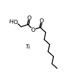 CCCCCCCC(=O)OC(=O)CO.[Ti]